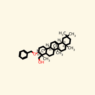 CC1(C)CC[C@]2(C)CC[C@]3(C)C(=CC[C@@H]4[C@@]5(C)CC[C@H](OCc6ccccc6)[C@@](C)(CO)C5CC[C@]43C)[C@H]2C1